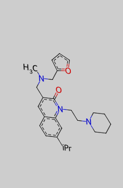 CC(C)c1ccc2cc(CN(C)Cc3ccco3)c(=O)n(CCN3CCCCC3)c2c1